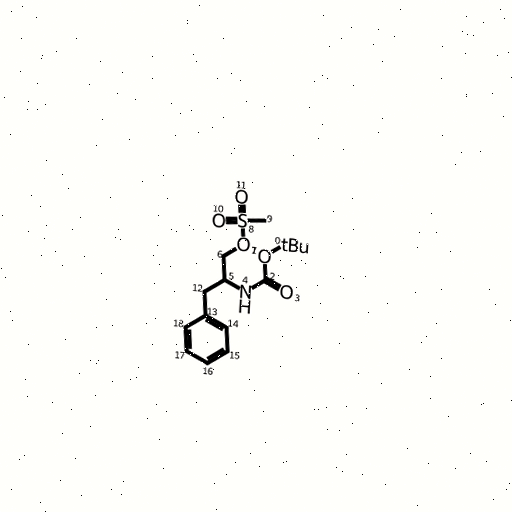 CC(C)(C)OC(=O)NC(COS(C)(=O)=O)Cc1ccccc1